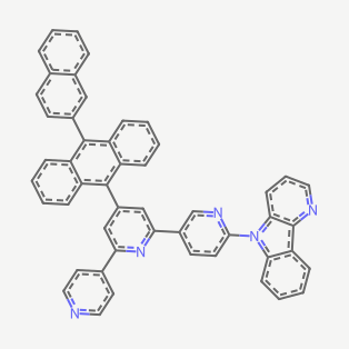 c1ccc2cc(-c3c4ccccc4c(-c4cc(-c5ccncc5)nc(-c5ccc(-n6c7ccccc7c7ncccc76)nc5)c4)c4ccccc34)ccc2c1